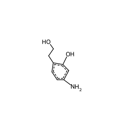 Nc1ccc(CCO)c(O)c1